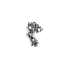 O=C(O)N(Cc1ccccc1)[C@@H]1CCCC[C@H]1N[C@H]1CCCN(c2ccc(C(F)(F)F)cc2)C1